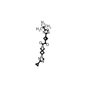 CC(C)(C)c1nc(C23CC(C(=O)C(=O)N4CC5(CC(n6cnc(C7CC7)n6)C5)C4)(C2)C3)no1